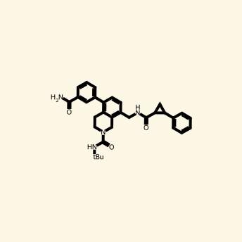 CC(C)(C)NC(=O)N1CCc2c(-c3cccc(C(N)=O)c3)ccc(CNC(=O)C3CC3c3ccccc3)c2C1